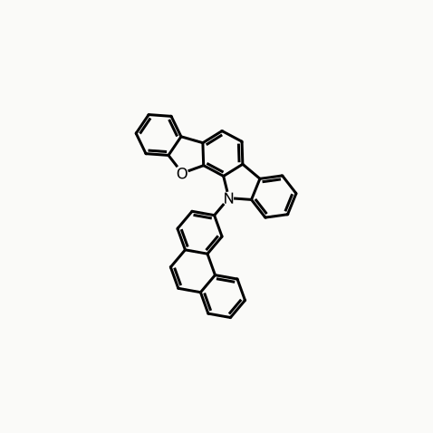 c1ccc2c(c1)ccc1ccc(-n3c4ccccc4c4ccc5c6ccccc6oc5c43)cc12